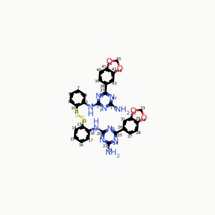 Nc1nc(Nc2ccccc2SSc2ccccc2Nc2nc(N)nc(-c3ccc4c(c3)OCO4)n2)nc(-c2ccc3c(c2)OCO3)n1